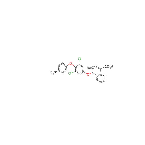 CO/C=C(/C(=O)O)c1ccccc1COc1cc(Cl)c(Oc2ccc([N+](=O)[O-])cc2)c(Cl)c1